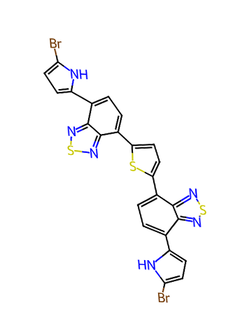 Brc1ccc(-c2ccc(-c3ccc(-c4ccc(-c5ccc(Br)[nH]5)c5nsnc45)s3)c3nsnc23)[nH]1